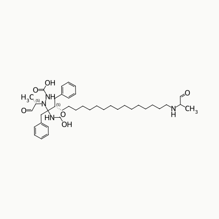 CC(C=O)NCCCCCCCCCCCCCCCC[C@@H](Cc1ccccc1)C(Cc1ccccc1)(NC(=O)O)N(NC(=O)O)[C@@H](C)C=O